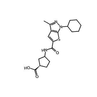 Cc1nn(C2CCCCC2)c2sc(C(=O)NC3CC[C@@H](C(=O)O)C3)cc12